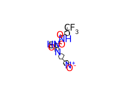 CCO[C@H]1CN(C2CCC(c3cc[n+]([O-])cc3)CC2)C[C@@H]1NC(=O)CNC(=O)c1cccc(C(F)(F)F)c1